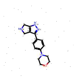 c1cc(N2CCOCC2)ccc1-c1n[nH]c2c1CNC2